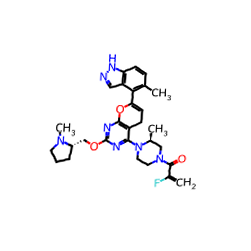 C=C(F)C(=O)N1CCN(c2nc(OC[C@@H]3CCCN3C)nc3c2CC=C(c2c(C)ccc4[nH]ncc24)O3)[C@@H](C)C1